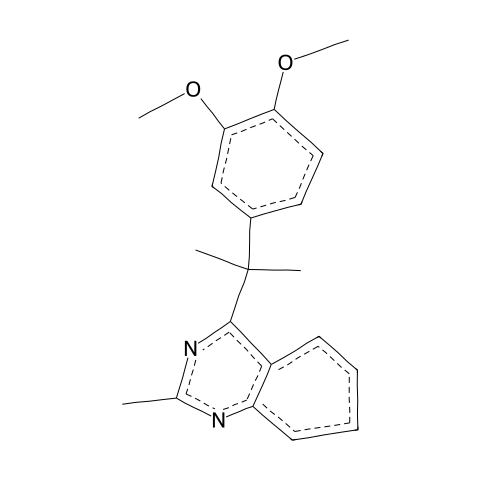 COc1ccc(C(C)(C)c2nc(C)nc3ccccc23)cc1OC